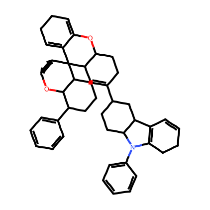 C1=CC2=C(CC1)N(c1ccccc1)C1CCC(C3=CC4C(CC3)OC3=CCCC=C3C43c4ccccc4OC4C(c5ccccc5)CCCC43)CC21